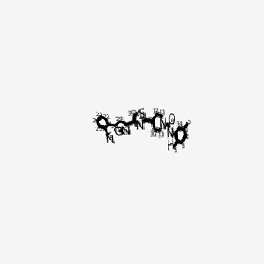 Cc1ccc(C)c(NC(=O)N2CCC(c3nc(C4=NOC(c5ccccc5C#N)C4)cs3)CC2)c1